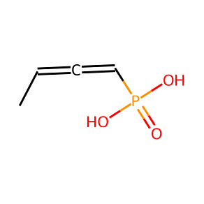 CC=C=CP(=O)(O)O